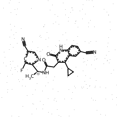 C[C@H](NC(=O)Cc1c(C2CC2)c2cc(C#N)ccc2[nH]c1=O)c1ncc(C#N)cc1F